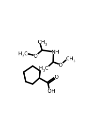 COC(C)NC(C)OC.O=C(O)C1CCCCC1